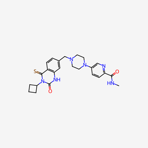 CNC(=O)c1ccc(N2CCN(Cc3ccc4c(=S)n(C5CCC5)c(=O)[nH]c4c3)CC2)cn1